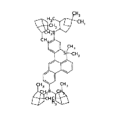 CC1C(B(c2ccc3c(c2)[Si](C)(C)c2cccc4c2c-3cc2ccc(B(C3CC5CC(C3C)C5(C)C)C3CC5CC(C3C)C5(C)C)cc24)C2CC3CC(C2C)C3(C)C)CC2CC1C2(C)C